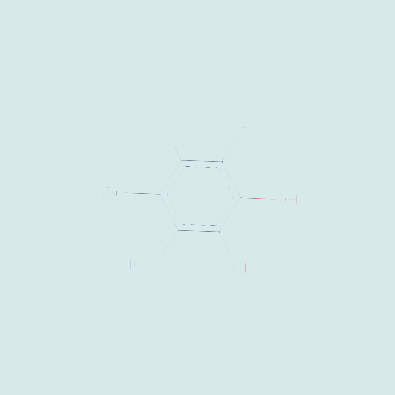 CCCCc1c(F)c(F)c(O)c(O)c1C(=O)O